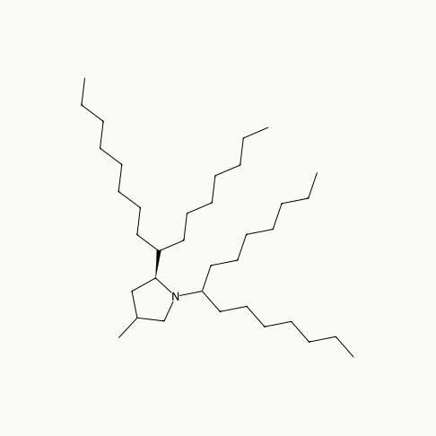 CCCCCCCCC(CCCCCCC)[C@@H]1CC(C)CN1C(CCCCCCC)CCCCCCC